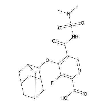 CN(C)S(=O)(=O)NC(=O)c1ccc(C(=O)O)c(F)c1OC1C2CC3CC(C2)CC1C3